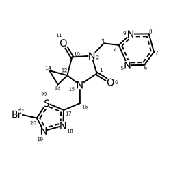 O=C1N(Cc2ncccn2)C(=O)C2(CC2)N1Cc1nnc(Br)s1